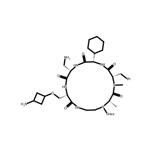 CCCCCCN1CCNC(=O)[C@H](COC2CC(N)C2)NC(=O)[C@H](CN)NC(=O)[C@H](C2CCCCC2)NC(=O)[C@H](CC(C)C)N(C)C(=O)[C@@H]1C